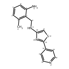 Cc1cccc(N)c1CNc1csc(-c2ccncc2)n1